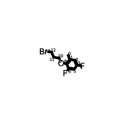 Cc1cc(F)cc(F)c1OCCCBr